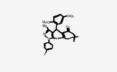 COc1ccc(OC)c(C2C3=C(CC(C)(C)CC3=O)Nc3c2c(C(C)(C)C)nn3-c2ccc(F)cc2)c1